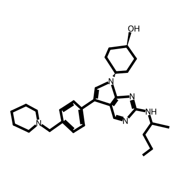 CCCC(C)Nc1ncc2c(-c3ccc(CN4CCCCC4)cc3)cn([C@H]3CC[C@H](O)CC3)c2n1